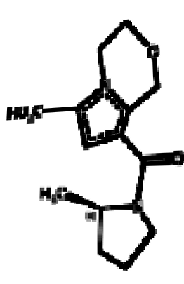 C[C@@H]1CCCN1C(=O)c1cc(C(=O)O)n2c1COCC2